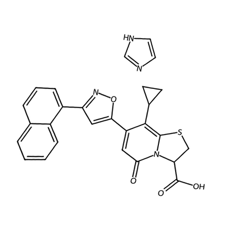 O=C(O)C1CSc2c(C3CC3)c(-c3cc(-c4cccc5ccccc45)no3)cc(=O)n21.c1c[nH]cn1